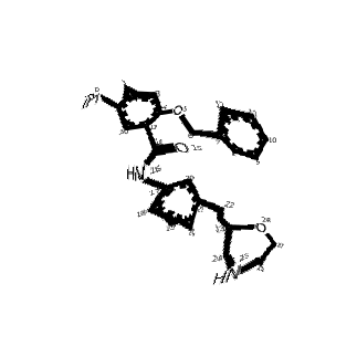 CC(C)c1ccc(OCc2ccccc2)c(C(=O)Nc2cccc(CC3CNCCO3)c2)c1